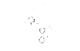 CO[C@@H](C)CNCc1cc(C(=O)Nc2cc(-c3ccc(Cl)cc3C(=O)N(C)C)cc(C3CC3)n2)c(=O)n(C2CC2)c1